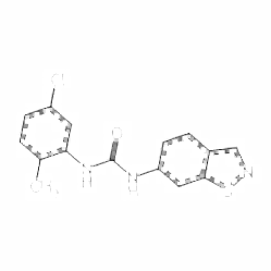 Cc1ccc(Cl)cc1NC(=O)Nc1ccc2cnsc2c1